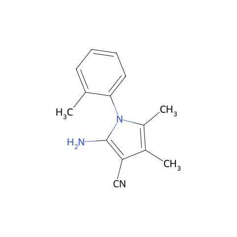 Cc1ccccc1-n1c(C)c(C)c(C#N)c1N